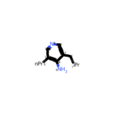 CCCc1cncc(CC(C)C)c1N